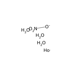 O.O.O.O=[N+]([O-])[O-].[Ho]